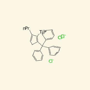 CCCC1=CCC(C(c2ccccc2)(c2ccccc2)c2ccccc2)=[C]1[Ti+3].[Cl-].[Cl-].[Cl-]